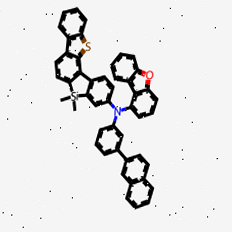 C[Si]1(C)c2cc(N(c3cccc(-c4ccc5ccccc5c4)c3)c3cccc4oc5ccccc5c34)ccc2-c2c1ccc1c2sc2ccccc21